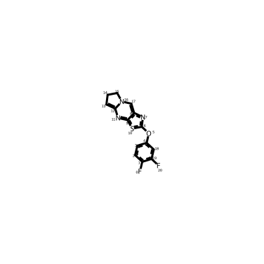 Fc1ccc(Oc2nc3c(s2)=NC2=CCCN2C=3)cc1F